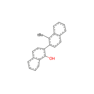 CC(C)(C)c1c(-c2ccc3ccccc3c2O)ccc2ccccc12